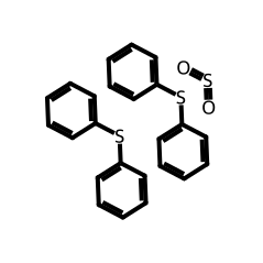 O=S=O.c1ccc(Sc2ccccc2)cc1.c1ccc(Sc2ccccc2)cc1